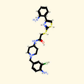 Nc1ccc(CN2CCC(NC(=O)CSc3nc(-c4ccccc4N)cs3)CC2)cc1Cl